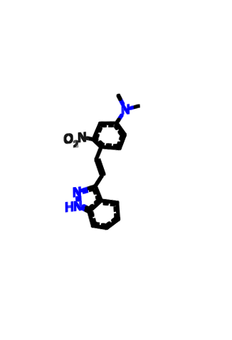 CN(C)c1ccc(C=Cc2n[nH]c3ccccc23)c([N+](=O)[O-])c1